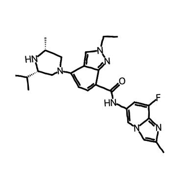 CCn1cc2c(N3C[C@@H](C)N[C@@H](C(C)C)C3)ccc(C(=O)Nc3cc(F)c4nc(C)cn4c3)c2n1